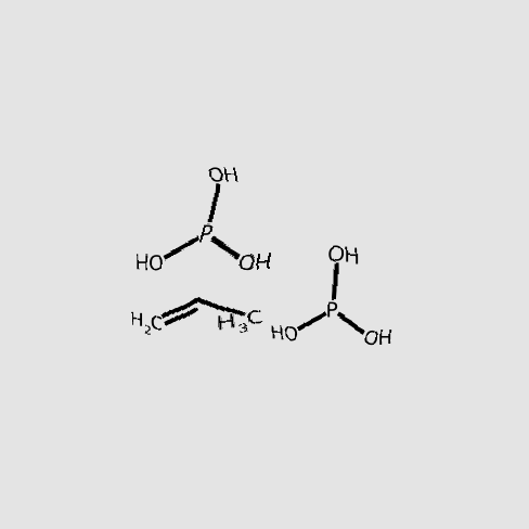 C=CC.OP(O)O.OP(O)O